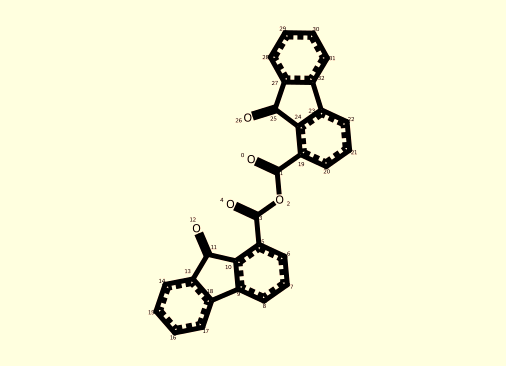 O=C(OC(=O)c1cccc2c1C(=O)c1ccccc1-2)c1cccc2c1C(=O)c1ccccc1-2